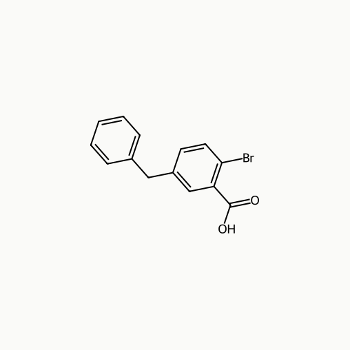 O=C(O)c1cc(Cc2ccccc2)ccc1Br